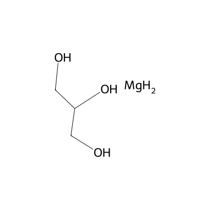 OCC(O)CO.[MgH2]